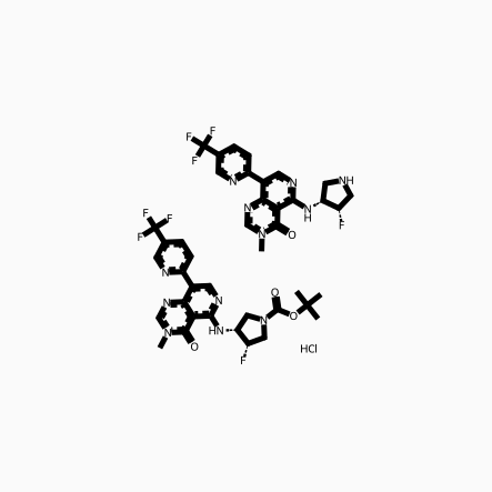 Cl.Cn1cnc2c(-c3ccc(C(F)(F)F)cn3)cnc(N[C@@H]3CN(C(=O)OC(C)(C)C)C[C@@H]3F)c2c1=O.Cn1cnc2c(-c3ccc(C(F)(F)F)cn3)cnc(N[C@@H]3CNC[C@@H]3F)c2c1=O